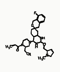 C=CC(=O)N1CCN(C2NC(OCC3CCCN3C)NC3C[C@]4(CCC32)Cc2cccc(F)c2CO4)CC1CC#N